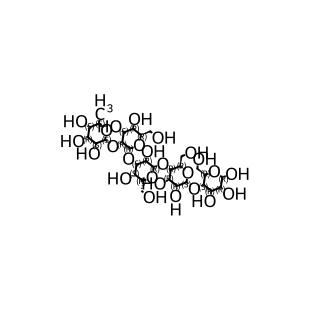 C[C@@H]1O[C@@H](O[C@H]2[C@@H](O[C@H]3[C@@H](O)[C@@H](CO)O[C@H](O[C@@H]4[C@H](O)[C@@H](O)[C@H](O[C@H]5[C@H](O)[C@@H](O)[C@H](O)O[C@@H]5CO)O[C@@H]4CO)[C@@H]3O)O[C@H](CO)[C@H](O)[C@@H]2O)[C@@H](O)[C@H](O)[C@@H]1O